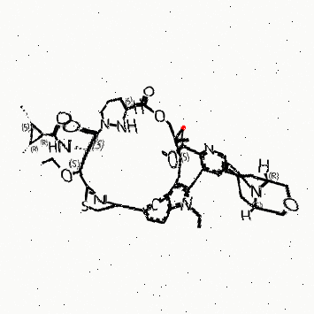 CCO[C@@H]1C2=NC(CS2)c2ccc3c(c2)c(c(-c2cc(C4C[C@H]5COC[C@@H](C4)N5C4=CC4)cnc2[C@H](C)OC)n3CC)CC(C)(C)COC(=O)[C@@H]2CCCN(N2)C(=O)[C@H]1NC(=O)[C@H]1[C@H](C)[C@@H]1C